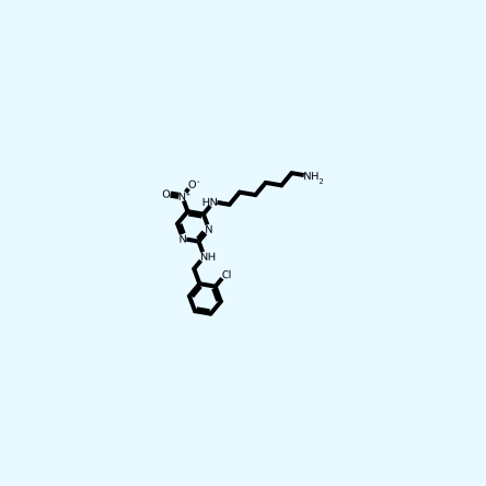 NCCCCCCNc1nc(NCc2ccccc2Cl)ncc1[N+](=O)[O-]